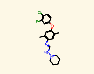 Cc1cc(Oc2ccc(Cl)c(F)c2)c(C)cc1/N=C/NN1CCCCC1